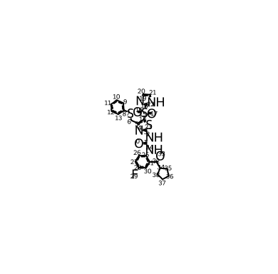 O=C(Nc1nc(CSc2ccccc2)c(S(=O)(=O)c2ncc[nH]2)s1)Nc1ccc(F)cc1C(=O)C1CCCC1